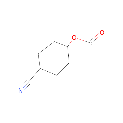 N#CC1CCC(O[C]=O)CC1